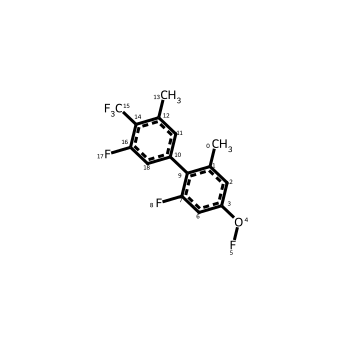 Cc1cc(OF)cc(F)c1-c1cc(C)c(C(F)(F)F)c(F)c1